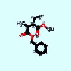 C=C(C(=O)OCc1ccccc1)[C@@H](CC(C)C)C(=O)OC(C)(C)C